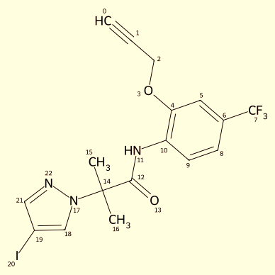 C#CCOc1cc(C(F)(F)F)ccc1NC(=O)C(C)(C)n1cc(I)cn1